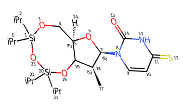 CC(C)[Si]1(C(C)C)OC[C@H]2O[C@@H](n3ccc(=S)[nH]c3=O)[C@@H](C)C2O[Si](C(C)C)(C(C)C)O1